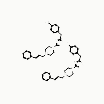 Clc1ccc(Cc2nsc(N3CCN(CC=Cc4ccccc4)CC3)n2)cc1.Fc1ccc(Cc2nsc(N3CCN(CC=Cc4ccccc4)CC3)n2)cc1